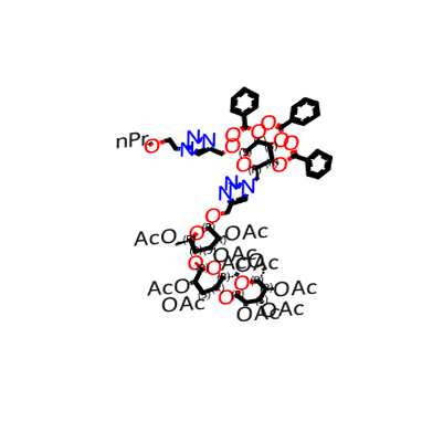 CCCOCCn1cc(CO[C@H]2O[C@H](Cn3cc(CO[C@@H]4O[C@H](COC(C)=O)[C@@H](O[C@H]5O[C@H](COC(C)=O)[C@@H](O[C@H]6O[C@H](COC(C)=O)[C@@H](OC(C)=O)[C@H](OC(C)=O)C6OC(C)=O)[C@H](OC(C)=O)C5OC(C)=O)[C@H](OC(C)=O)[C@H]4OC(C)=O)nn3)[C@@H](OC(=O)c3ccccc3)[C@H](OC(=O)c3ccccc3)[C@@H]2OC(=O)c2ccccc2)nn1